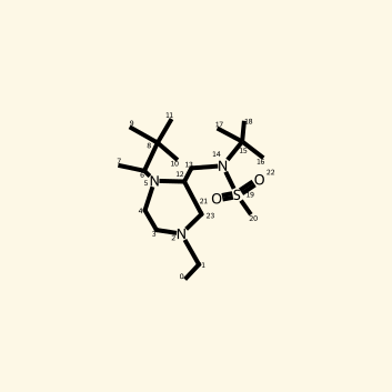 CCN1CCN(C(C)C(C)(C)C)C(CN(C(C)(C)C)S(C)(=O)=O)C1